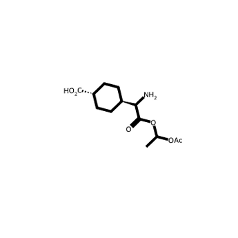 CC(=O)OC(C)OC(=O)C(N)[C@H]1CC[C@H](C(=O)O)CC1